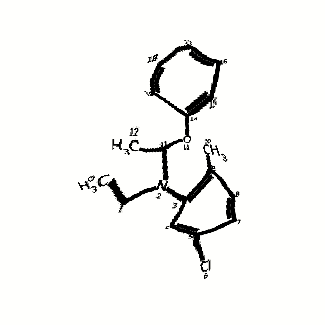 CCN(c1cc(Cl)ccc1C)C(C)Oc1ccccc1